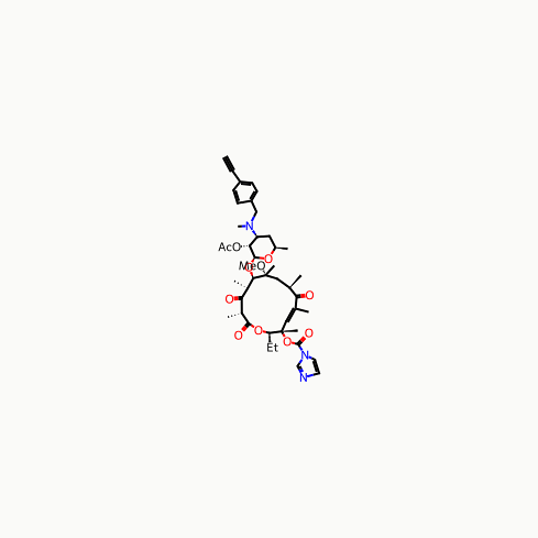 C#Cc1ccc(CN(C)[C@H]2C[C@@H](C)O[C@@H](O[C@@H]3[C@@H](C)C(=O)[C@@H](C)C(=O)O[C@H](CC)[C@@](C)(OC(=O)n4ccnc4)/C=C(\C)C(=O)[C@H](C)C[C@@]3(C)OC)[C@@H]2OC(C)=O)cc1